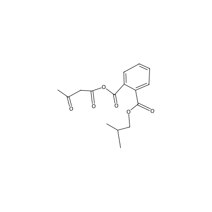 CC(=O)CC(=O)OC(=O)c1ccccc1C(=O)OCC(C)C